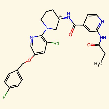 CCC(=O)Nc1cc(C(=O)N[C@@H]2CCCN(c3ncc(OCc4ccc(F)cc4)cc3Cl)C2)ccn1